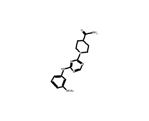 CC(=O)Nc1cccc(Nc2ncnc(N3CCC(C(N)=O)CC3)n2)c1